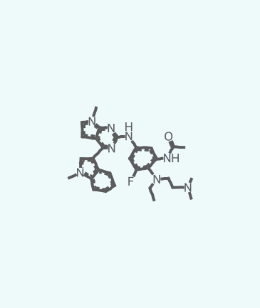 CCN(CCN(C)C)c1c(F)cc(Nc2nc(-c3cn(C)c4ccccc34)c3ccn(C)c3n2)cc1NC(C)=O